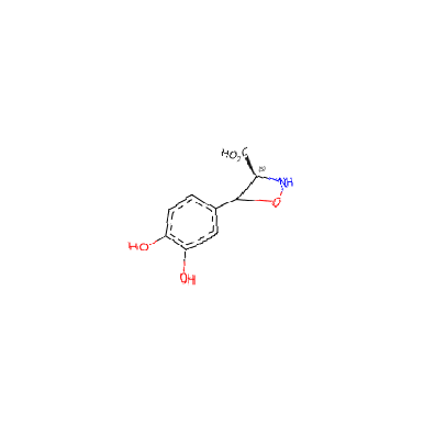 O=C(O)[C@H]1NOC1c1ccc(O)c(O)c1